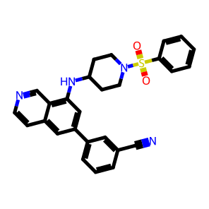 N#Cc1cccc(-c2cc(NC3CCN(S(=O)(=O)c4ccccc4)CC3)c3cnccc3c2)c1